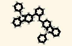 c1ccc(-n2c3ccccc3c3ccc(Cc4ccccc4-c4ccc5c6ccccc6n(-c6ccccc6)c5c4)cc32)cc1